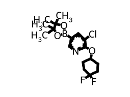 CC1(C)OB(c2cnc(OC3CCC(F)(F)CC3)c(Cl)c2)OC1(C)C